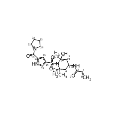 C=CC(=O)NC1CC(C)(C)N(S(=O)(=O)c2c[nH]c(C(=O)N3CCCC3)c2)C(C)(C)C1